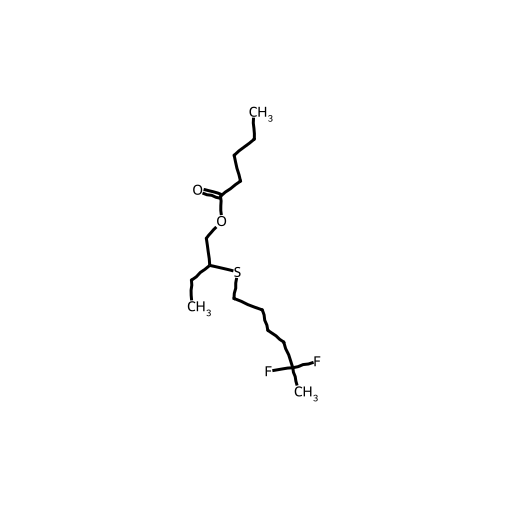 CCCCC(=O)OCC(CC)SCCCCC(C)(F)F